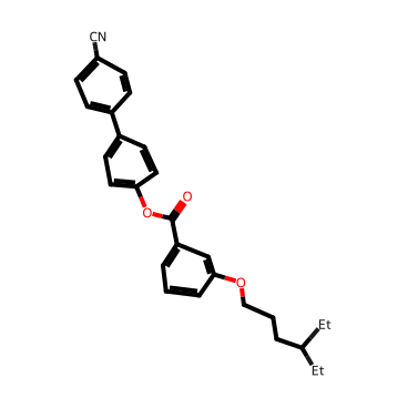 CCC(CC)CCCOc1cccc(C(=O)Oc2ccc(-c3ccc(C#N)cc3)cc2)c1